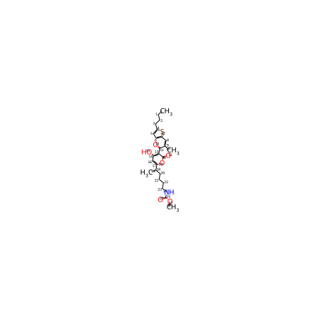 CCCCc1ccc(/C=C(/C)C(=O)c2c(O)cc(C(C)CCCCNC(=O)OC)oc2=O)s1